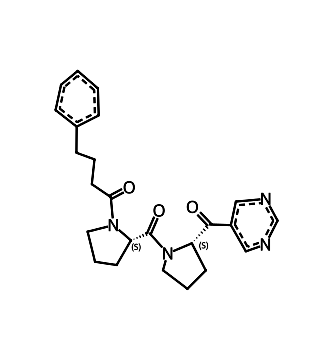 O=C(c1cncnc1)[C@@H]1CCCN1C(=O)[C@@H]1CCCN1C(=O)CCCc1ccccc1